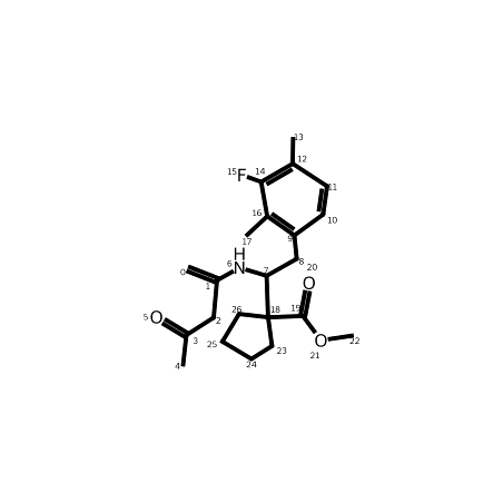 C=C(CC(C)=O)NC(Cc1ccc(C)c(F)c1C)C1(C(=O)OC)CCCC1